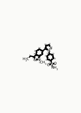 CCc1nn(C)c2cc(-c3ccnn3-c3ccc(S(N)(=O)=O)cc3)ccc12